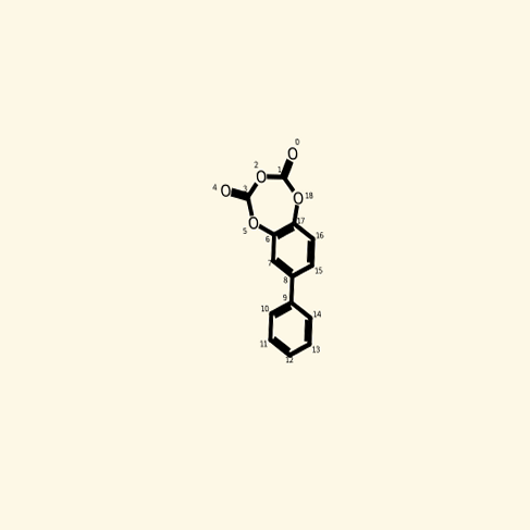 O=C1OC(=O)Oc2cc(-c3ccccc3)ccc2O1